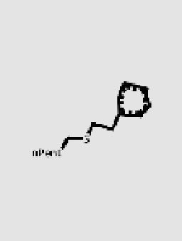 CCCCCCSCCc1cc[c]cc1